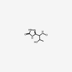 CC(O)C(NCl)c1n[nH]c(=O)[nH]1